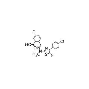 CN(/N=C/c1ccc(F)cc1C(=O)O)c1nc(-c2ccc(Cl)cc2)c(F)s1